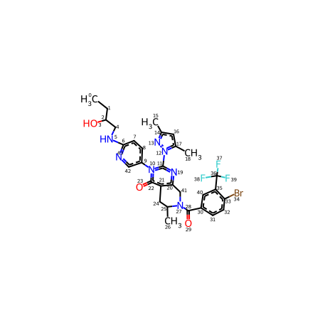 CCC(O)CNc1ccc(-n2c(-n3nc(C)cc3C)nc3c(c2=O)CC(C)N(C(=O)c2ccc(Br)c(C(F)(F)F)c2)C3)cn1